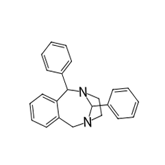 c1ccc(C2c3ccccc3CN3CCN2C3c2ccccc2)cc1